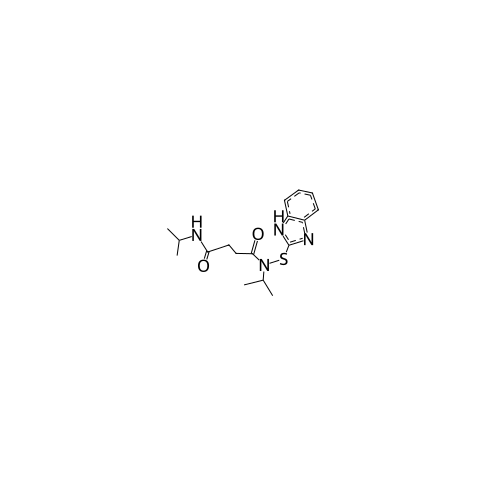 CC(C)NC(=O)CCC(=O)N(Sc1nc2ccccc2[nH]1)C(C)C